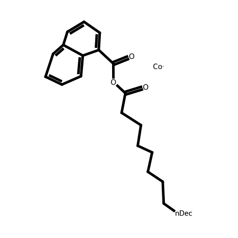 CCCCCCCCCCCCCCCCCC(=O)OC(=O)c1cccc2ccccc12.[Co]